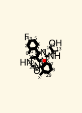 Cc1cc(F)ccc1-c1nc(N[C@H](C)CO)nc2c1CNC[N+]2([O-])c1c(C)cccc1C